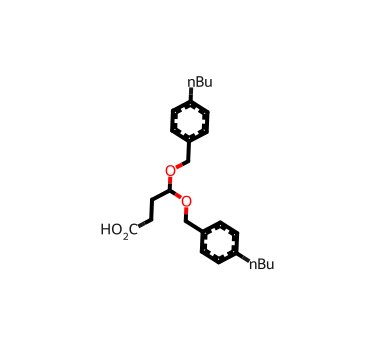 CCCCc1ccc(COC(CCC(=O)O)OCc2ccc(CCCC)cc2)cc1